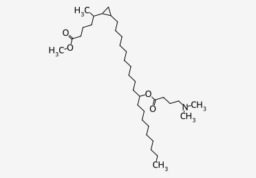 CCCCCCCCCC(CCCCCCCCCCC1CC1C(C)CCCC(=O)OC)OC(=O)CCCN(C)C